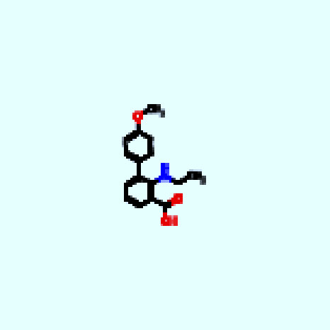 CCNc1c(C(=O)O)cccc1-c1ccc(OC)cc1